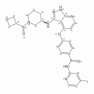 Cc1ccnc(NC(=O)c2ccc(Oc3ccnc4[nH]nc(N[C@@H]5CCCN(C(=O)C6COC6)C5)c34)cc2)c1